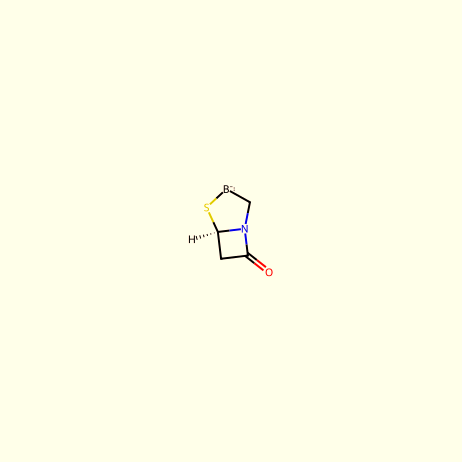 O=C1C[C@H]2S[B-]CN12